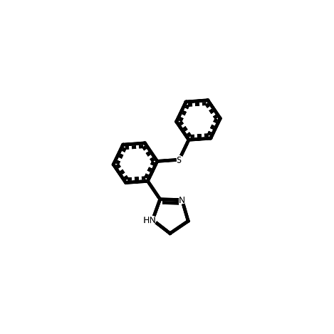 c1ccc(Sc2ccccc2C2=NCCN2)cc1